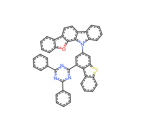 c1ccc(-c2nc(-c3ccccc3)nc(-c3cc(-n4c5ccccc5c5ccc6c7ccccc7oc6c54)cc4sc5ccccc5c34)n2)cc1